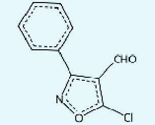 O=Cc1c(-c2ccccc2)noc1Cl